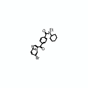 CCN(C(=O)c1ccc(C(=O)c2cnc3ccc(Br)cn23)cc1)C1CCCCC1